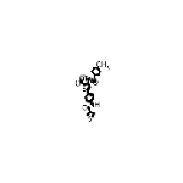 COC(=O)c1sc(-c2ccc(NC(=O)C3C=CSC3)cc2)cc1N(C(=O)[C@H]1CC[C@H](C)CC1)C(C)C